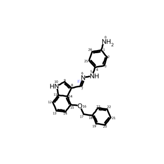 Nc1ccc(N/N=C/c2c[nH]c3cccc(OCc4ccccc4)c23)cc1